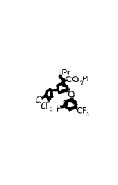 CC(C)CC(C(=O)O)c1cc(Oc2cc(F)cc(C(F)(F)F)c2)cc(-c2ccc(Cl)c(C(F)(F)F)c2)c1